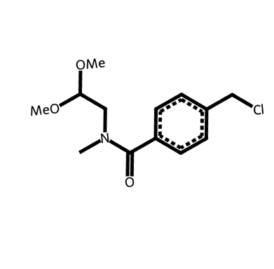 COC(CN(C)C(=O)c1ccc(CCl)cc1)OC